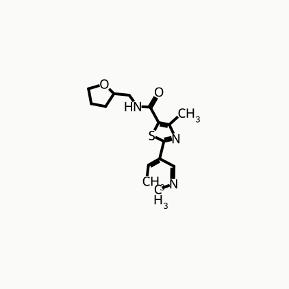 C/C=C(\C=N/C)c1nc(C)c(C(=O)NCC2CCCO2)s1